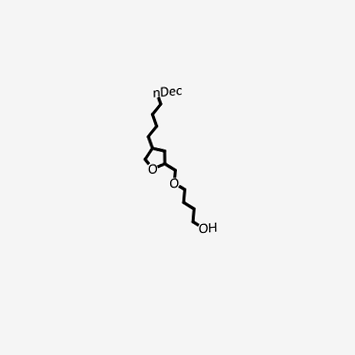 CCCCCCCCCCCCCCC1COC(COCCCCO)C1